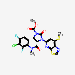 CN(C(=O)[C@@H]1CN(C(=O)OC(C)(C)C)C(=O)N1c1cc(SC(F)(F)F)c2ncsc2n1)c1ccc(F)c(Cl)c1F